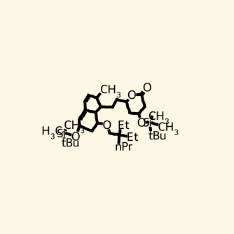 CCCC(CC)(CC)COC1CC(O[Si](C)(C)C(C)(C)C)C=C2C=CC(C)C(CCC3CC(O[Si](C)(C)C(C)(C)C)CC(=O)O3)C21